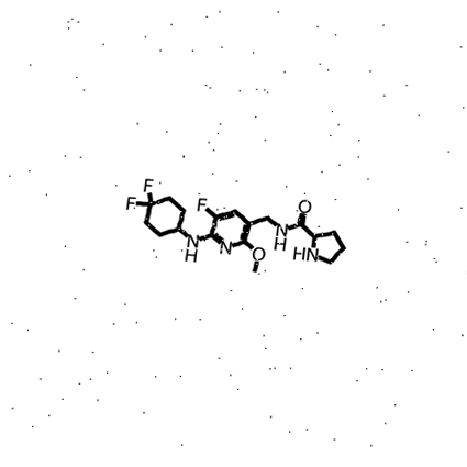 COc1nc(NC2CCC(F)(F)CC2)c(F)cc1CNC(=O)C1CCCN1